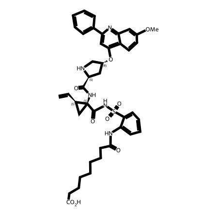 C=C[C@@H]1C[C@@]1(NC(=O)[C@@H]1C[C@@H](Oc2cc(-c3ccccc3)nc3cc(OC)ccc23)CN1)C(=O)NS(=O)(=O)c1ccccc1NC(=O)CCCCCCCC(=O)O